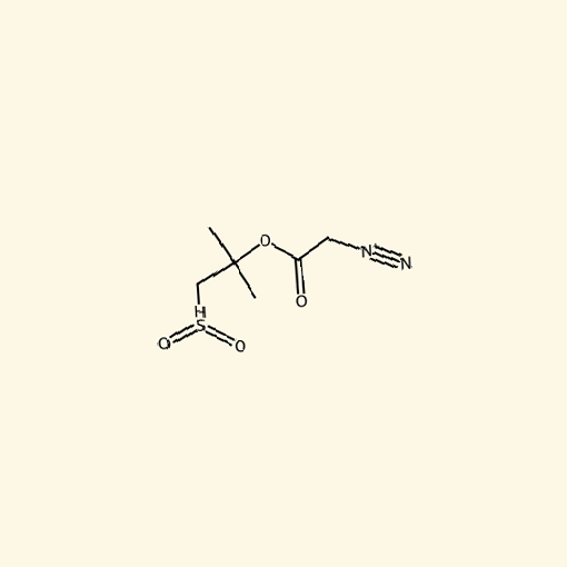 CC(C)(C[SH](=O)=O)OC(=O)C[N+]#N